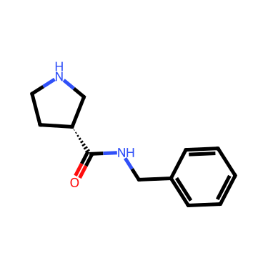 O=C(NCc1ccccc1)[C@@H]1CCNC1